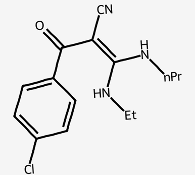 CCCNC(NCC)=C(C#N)C(=O)c1ccc(Cl)cc1